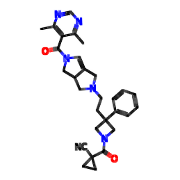 Cc1ncnc(C)c1C(=O)N1C=C2CN(CCC3(c4ccccc4)CN(C(=O)C4(C#N)CC4)C3)CC2C1